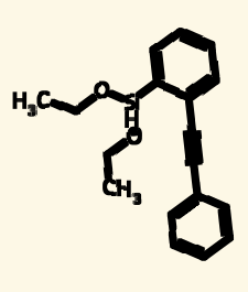 CCO[SiH](OCC)c1ccccc1C#Cc1ccccc1